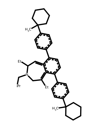 CCC1=c2c(-c3ccc(C4(C)CCCCC4)cc3)ccc(-c3ccc(C4(C)CCCCC4)cc3)c2=CC(CC)N(CC(C)C)C1